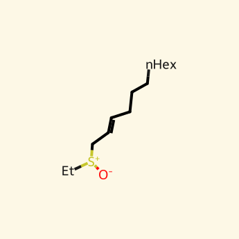 CCCCCCCCCC=CC[S+]([O-])CC